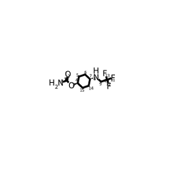 NC(=O)O[C@H]1CC[C@H](NCC(F)(F)F)CC1